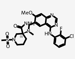 CNC(=O)[C@]1(N(C)Cc2cc3c(Nc4cccc(Cl)c4F)ncnc3cc2OC)CCCN(S(C)(=O)=O)C1